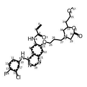 C=CC(=O)Nc1cc2c(Nc3ccc(F)c(Cl)c3)ncnc2cc1OCCCN1CC(=O)OC(CCOC)C1